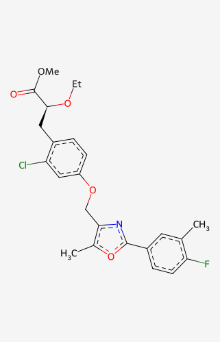 CCO[C@@H](Cc1ccc(OCc2nc(-c3ccc(F)c(C)c3)oc2C)cc1Cl)C(=O)OC